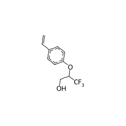 C=Cc1ccc(OC(CO)C(F)(F)F)cc1